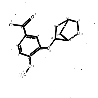 COc1ccc(C(=O)Cl)cc1OC1CC2COC1C2